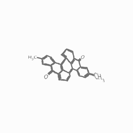 Cc1ccc2c(c1)c(=O)c1cccc3c1c2c1cccc2c(=O)c4cc(C)ccc4c3c21